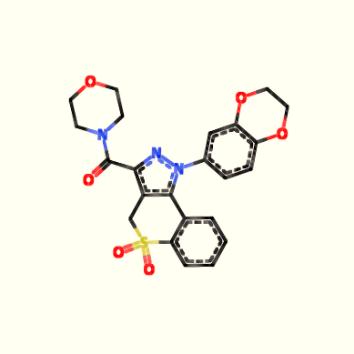 O=C(c1nn(-c2ccc3c(c2)OCCO3)c2c1CS(=O)(=O)c1ccccc1-2)N1CCOCC1